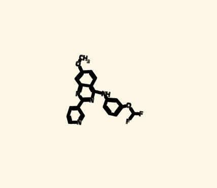 COc1ccc2c(Nc3cccc(OC(F)F)c3)nc(-c3cccnc3)nc2c1